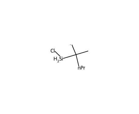 [CH2]C(C)(CCC)[SiH2]Cl